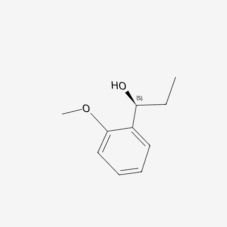 CC[C@H](O)c1ccccc1OC